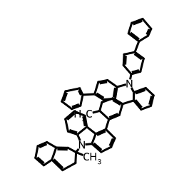 CC1CC=C(c2ccccc2N(c2ccc(-c3ccccc3)cc2)c2ccc(-c3ccccc3)cc2)C=C1c1cccc2c1c1ccccc1n2C1(C)C=c2ccccc2=CC1